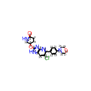 O=C1CCC(Oc2nc3nc(-c4ccc(N5CCOCC5)cc4)c(Cl)cc3[nH]2)CN1